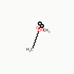 CCCCCCCCCCCCCOC(=O)c1c(OC)ccc2ccccc12